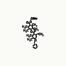 C=Cc1cc(OCc2ccccc2)c(C)c(C)c1C(=O)Oc1c(C)c(C)c(C(=O)OCOC)c(C)c1C